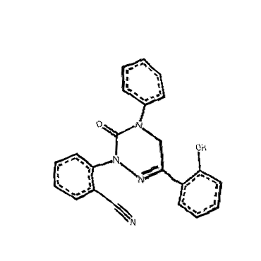 N#Cc1ccccc1N1N=C(c2ccccc2O)CN(c2ccccc2)C1=O